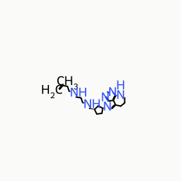 C=C(C)CCNCCCNC[C@@H]1CC[C@H](n2cc3c4c(ncnc42)NCCC3)C1